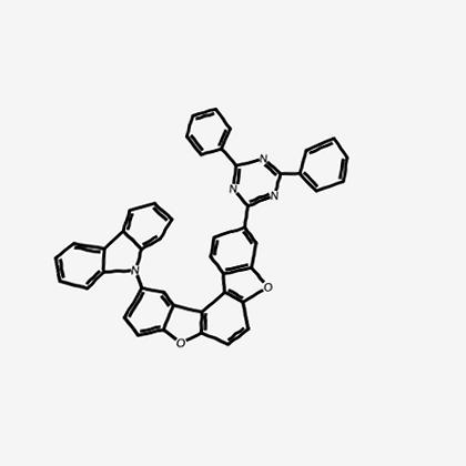 c1ccc(-c2nc(-c3ccccc3)nc(-c3ccc4c(c3)oc3ccc5oc6ccc(-n7c8ccccc8c8ccccc87)cc6c5c34)n2)cc1